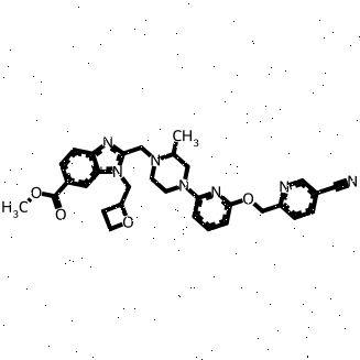 COC(=O)c1ccc2nc(CN3CCN(c4cccc(OCc5ccc(C#N)cn5)n4)CC3C)n(CC3CCO3)c2c1